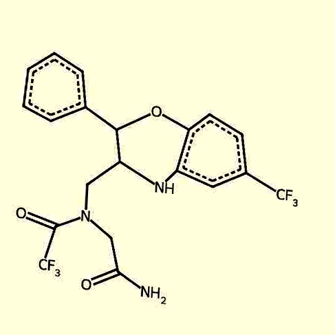 NC(=O)CN(CC1Nc2cc(C(F)(F)F)ccc2OC1c1ccccc1)C(=O)C(F)(F)F